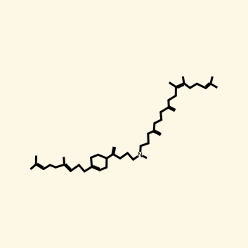 C=C(CCCC(=C)CC/C(C)=C(/C)CCC=C(C)C)CCCN(C)CCCC(=C)C1CC=C(CC/C=C(\C)CCC=C(C)C)CC1